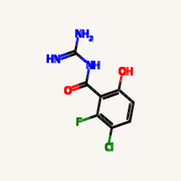 N=C(N)NC(=O)c1c(O)ccc(Cl)c1F